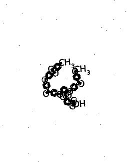 COc1ccc(C(=O)c2ccc(Oc3cccc(Oc4ccc(C(=O)c5ccc(Oc6ccc(S(=O)(=O)c7ccc(C)cc7)cc6)cc5)cc4)c3S(=O)(=O)c3cccc(S(=O)(=O)O)c3)cc2)cc1